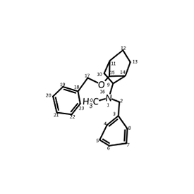 CN(Cc1ccccc1)C1CC2CCC1C2OCc1ccccc1